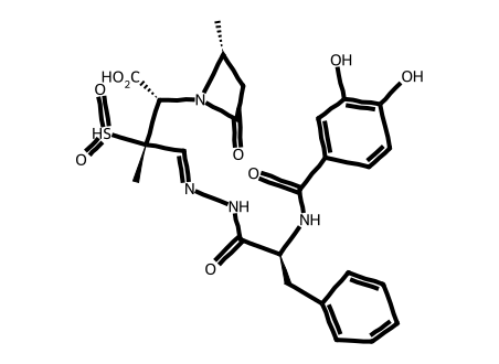 C[C@@H]1CC(=O)N1[C@@H](C(=O)O)[C@](C)(/C=N/NC(=O)[C@H](Cc1ccccc1)NC(=O)c1ccc(O)c(O)c1)[SH](=O)=O